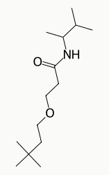 CC(C)C(C)NC(=O)CCOCCC(C)(C)C